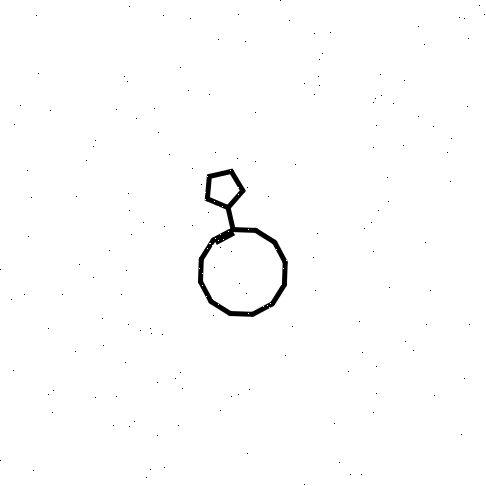 C1=C(C2CCCC2)CCCCCCCCCC1